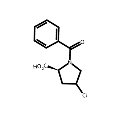 O=C(O)[C@@H]1CC(Cl)CN1C(=O)c1ccccc1